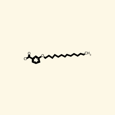 CCCCCCCCCCCCCCOc1cccc(C(=O)Cl)c1